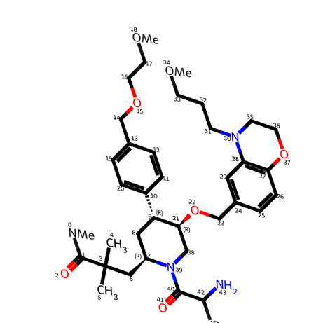 CNC(=O)C(C)(C)C[C@H]1C[C@H](c2ccc(COCCOC)cc2)[C@@H](OCc2ccc3c(c2)N(CCCOC)CCO3)CN1C(=O)C(N)C(C)C